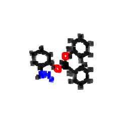 Nc1ccccc1OB(Oc1ccccc1)c1ccccc1